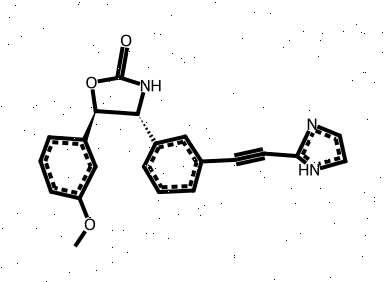 COc1cccc([C@H]2OC(=O)N[C@@H]2c2cccc(C#Cc3ncc[nH]3)c2)c1